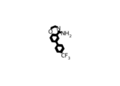 NC1=NCCOc2ccc(-c3ccc(C(F)(F)F)cc3)cc21